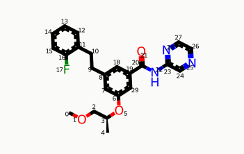 COC[C@H](C)Oc1cc(CCc2ccccc2F)cc(C(=O)Nc2cnccn2)c1